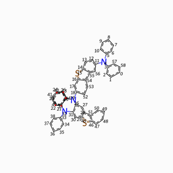 c1ccc(N(c2ccccc2)c2ccc3sc4cc(N(c5ccccc5)c5cc6c(cc5N(c5ccccc5)c5ccccc5)sc5ccccc56)ccc4c3c2)cc1